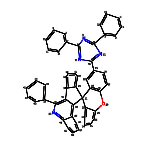 c1ccc(-c2nc(-c3ccccc3)nc(-c3ccc4c(c3)C3(c5ccccc5O4)c4ccccc4-c4c(-c5ccccc5)nc5ccccc5c43)n2)cc1